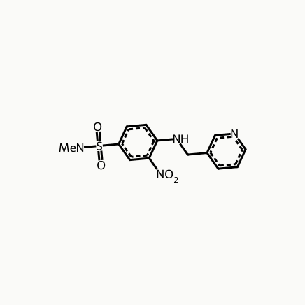 CNS(=O)(=O)c1ccc(NCc2cccnc2)c([N+](=O)[O-])c1